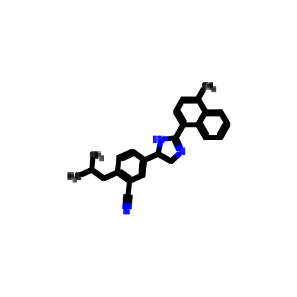 Cc1ccc(C2=NCC(c3ccc(CC(C)C)c(C#N)c3)N2)c2ccccc12